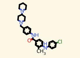 Cc1cc(C(=O)Nc2ccc(CN3CCC(N4CCCCC4)CC3)cc2)ccc1Nc1ccc(Cl)cc1